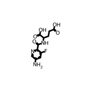 Nc1cnc(C(=O)NC(CCC(=O)O)C(=O)O)c(F)c1